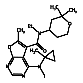 CCN(C(=O)c1c(C)oc2ncnc(N(I)C3(C)CC3)c12)C1CCOC(C)(C)C1